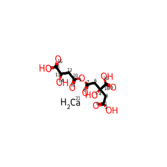 O=C(O)CC(O)(CC(=O)OC(=O)CC(O)C(=O)O)C(=O)O.[CaH2]